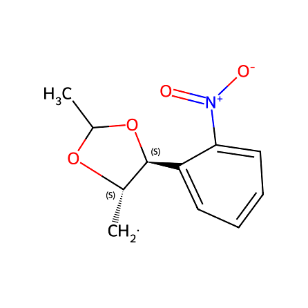 [CH2][C@@H]1OC(C)O[C@H]1c1ccccc1[N+](=O)[O-]